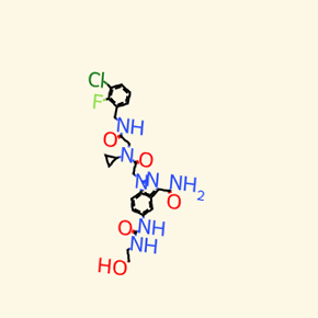 NC(=O)c1nn(CC(=O)N(CC(=O)NCc2cccc(Cl)c2F)C2CC2)c2ccc(NC(=O)NCCO)cc12